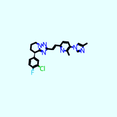 Cc1cn(-c2ccc(/C=C/c3nc4n(n3)CCC[C@@H]4c3ccc(F)c(Cl)c3)nc2C)cn1